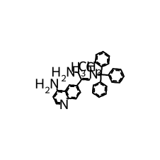 CC(N)/C(=C\N(C)C(c1ccccc1)(c1ccccc1)c1ccccc1)c1ccc2nccc(N)c2c1